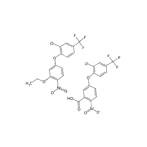 CCOc1cc(Oc2ccc(C(F)(F)F)cc2Cl)ccc1[N+](=O)[O-].O=C(O)c1cc(Oc2ccc(C(F)(F)F)cc2Cl)ccc1[N+](=O)[O-]